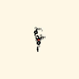 CC#CCOc1ccc(S(=O)(=O)C2(C(=O)NO)CCN(Cc3ccc(C(N)=O)cc3)CC2)cc1.Cl